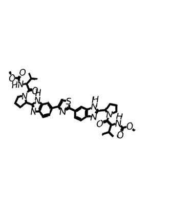 COC(=O)NC(C(=O)N1CCCC1c1nc2ccc(-c3csc(-c4ccc5nc(C6CCCN6C(=O)C(NC(=O)OC)C(C)C)[nH]c5c4)n3)cc2[nH]1)C(C)C